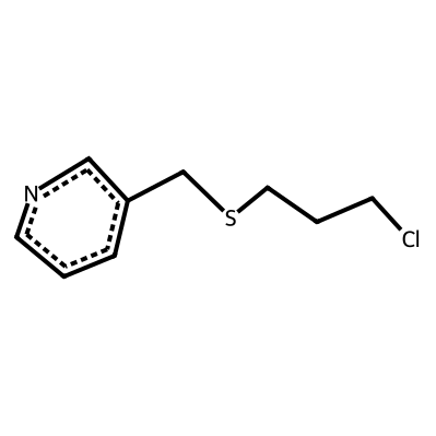 ClCCCSCc1cccnc1